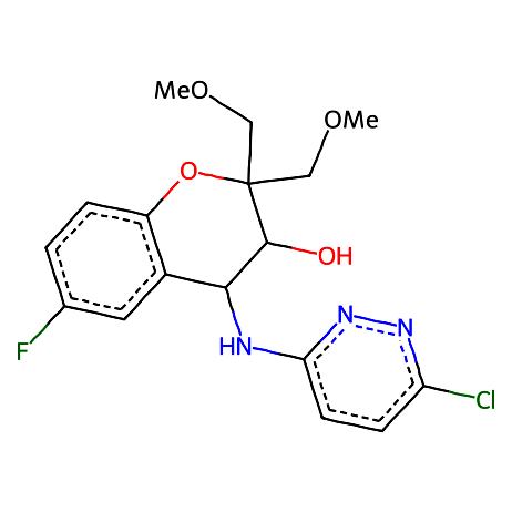 COCC1(COC)Oc2ccc(F)cc2C(Nc2ccc(Cl)nn2)C1O